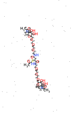 CC(=O)CSC(CC(=O)NCCOCCOCCOCC1OC2CCN(C(C)=O)[C@@H]2C(O)C1O)C(=O)NCCOCCOCCOCC1O[C@@H]2CCN(C(C)=O)[C@@H]2[C@@H](O)C1O